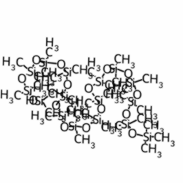 C[SiH](C)O[Si](C)(C)O[Si](C)(C)O[Si](C)(C)O[Si](C)(C)O[Si](C)(C)O[Si](C)(C)O[Si](C)(C)O[Si](C)(C)O[Si](C)(C)O[Si](C)(C)O[Si](C)(C)O[Si](C)(C)O[Si](C)(C)O[Si](C)(C)O[Si](C)(C)C